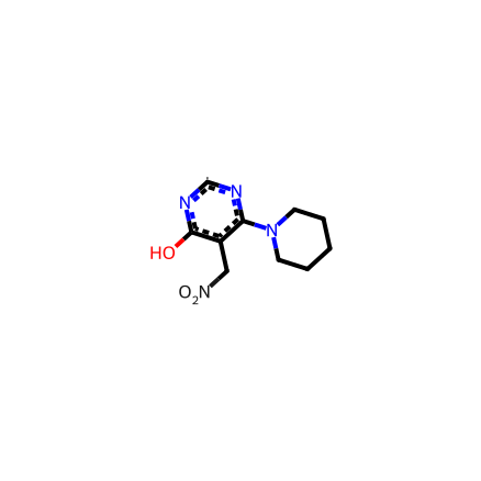 O=[N+]([O-])Cc1c(O)n[c]nc1N1CCCCC1